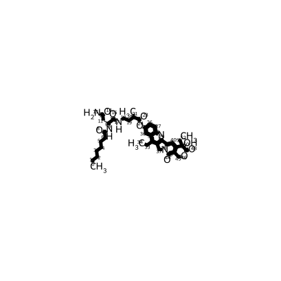 CCCCCCCC(=O)N[C@H](CC(N)=O)C(=O)NCC[C@@H](C)C(=O)Oc1ccc2nc3c(c(CC)c2c1)Cn1c-3cc2c(c1=O)COC(=O)[C@]2(O)CC